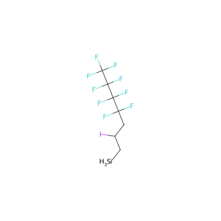 FC(F)(F)C(F)(F)C(F)(F)C(F)(F)CC(I)C[SiH3]